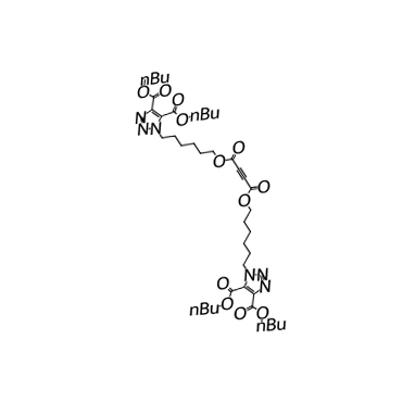 CCCCOC(=O)c1nnn(CCCCCCOC(=O)C#CC(=O)OCCCCCCn2nnc(C(=O)OCCCC)c2C(=O)OCCCC)c1C(=O)OCCCC